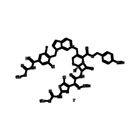 CO/N=C(\C(=O)N[C@@H]1C(=O)N2C(C(=O)OCc3ccc(OC)cc3)=C(C[n+]3ccc4ccn(Cc5c(F)cc(C(=N)NC(=O)OC(C)(C)C)cc5Cl)c4c3)CS[C@H]12)c1nc(NC(=O)OC(C)(C)C)sc1Cl.[I-]